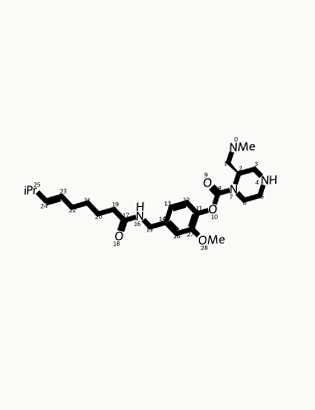 CNC[C@H]1CNCCN1C(=O)Oc1ccc(CNC(=O)CCCC/C=C/C(C)C)cc1OC